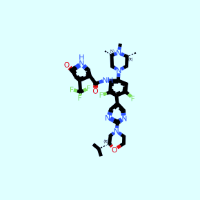 CC(C)[C@@H]1CN(c2ncc(-c3c(F)cc(N4C[C@@H](C)N(C)[C@@H](C)C4)c(NC(=O)c4c[nH]c(=O)cc4C(F)(F)F)c3F)cn2)CCO1